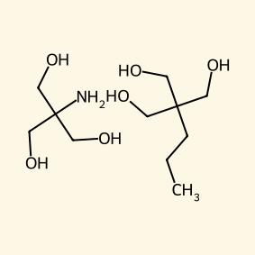 CCCC(CO)(CO)CO.NC(CO)(CO)CO